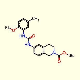 CCOc1ccc(C)cc1NC(=O)Nc1ccc2c(c1)CCN(C(=O)OC(C)(C)C)C2